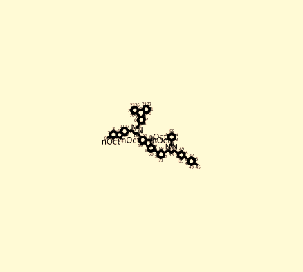 CCCCCCCCC1(CCCCCCCC)c2cc(C)ccc2-c2ccc(-c3cc(-c4ccc5c(c4)C(CCCCCCCC)(CCCCCCCC)c4cc(-c6cccc(-c7cc(-c8ccc(-c9ccc(C)cc9)cc8)nc(-c8ccccc8)n7)c6)ccc4-5)nc(-c4ccc5c6ccccc6c6ccccc6c5c4)n3)cc21